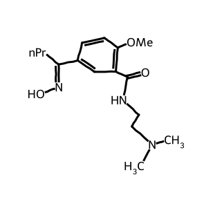 CCCC(=NO)c1ccc(OC)c(C(=O)NCCN(C)C)c1